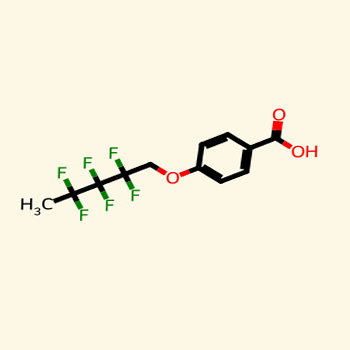 CC(F)(F)C(F)(F)C(F)(F)COc1ccc(C(=O)O)cc1